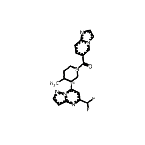 CC1CCN(C(=O)c2ccc3nccn3c2)C[C@H]1c1cc(C(F)F)nc2ccnn12